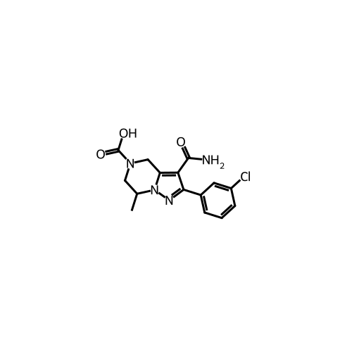 CC1CN(C(=O)O)Cc2c(C(N)=O)c(-c3cccc(Cl)c3)nn21